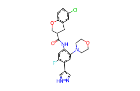 O=C(Nc1cc(F)c(-c2cn[nH]c2)cc1N1CCOCC1)C1COc2ccc(Cl)cc2C1